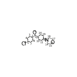 O=C(c1ccc(Cl)cc1)c1ccc(N2CCOCC2)cc1